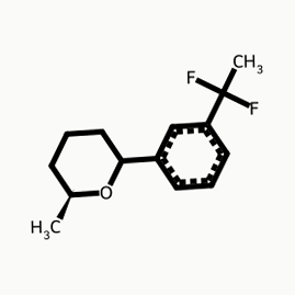 C[C@H]1CCCC(c2cccc(C(C)(F)F)c2)O1